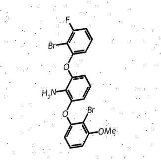 COc1cccc(Oc2cccc(Oc3cccc(F)c3Br)c2N)c1Br